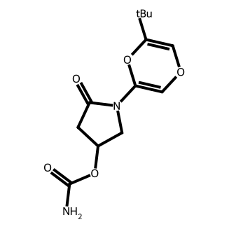 CC(C)(C)C1=COC=C(N2CC(OC(N)=O)CC2=O)O1